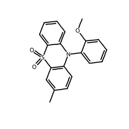 COc1ccccc1N1c2ccccc2S(=O)(=O)c2cc(C)ccc21